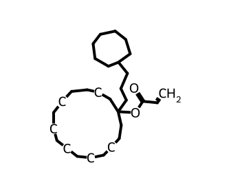 C=CC(=O)OC1(CCCC2CCCCCCC2)CCCCCCCCCCCCCCC1